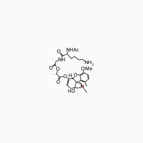 COc1ccc(C)c2c1O[C@H]1C(OC(=O)[C@H](C)OC(=O)[C@H](C)NC(=O)[C@H](CCCCN)NC(C)=O)=CC[C@@]3(O)[C@@H](C)N(C)CC[C@]213